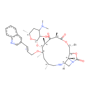 CC[C@H]1OC(=O)[C@H](C)C(=O)[C@H](C)[C@@H](O[C@@H]2O[C@H](C)CC(N(C)C)C2O)[C@](C)(OC/C=C/c2cnc3ccccc3c2)C[C@@H](C)CN[C@@H]2CN3C(=O)O[C@@]1(C)[C@@H]23